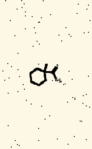 CC1(C(N)=S)CCCCC1